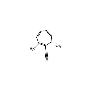 CC1=C(C#N)[C@@H](C)C=CC=C1